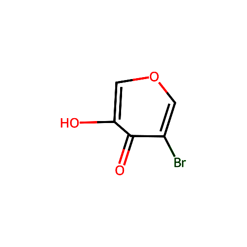 O=c1c(O)cocc1Br